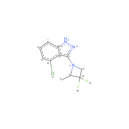 CC1N(c2n[nH]c3cccc(Cl)c23)CC1(F)F